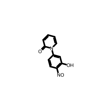 O=Nc1ccc(-n2ccccc2=O)cc1O